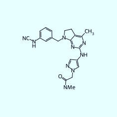 CNC(=O)Cn1cc(Nc2nc(C)c3c(n2)N(Cc2cccc(NC#N)c2)CC3)cn1